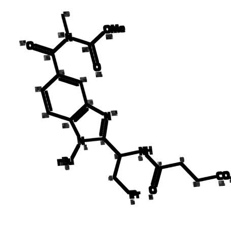 CCCCn1c(C(CC(C)C)NC(=O)CCC(=O)O)nc2cc(C(=O)N(C)C(=O)OC)ccc21